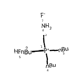 CCCC[P+](C)(CCCC)CCCC.F.N.[F-]